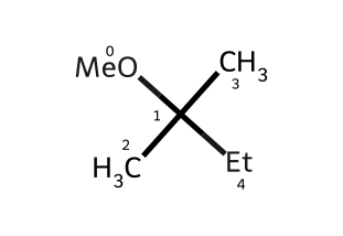 [C]OC(C)(C)CC